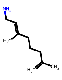 C=C(C)CCC/C(C)=C/CN